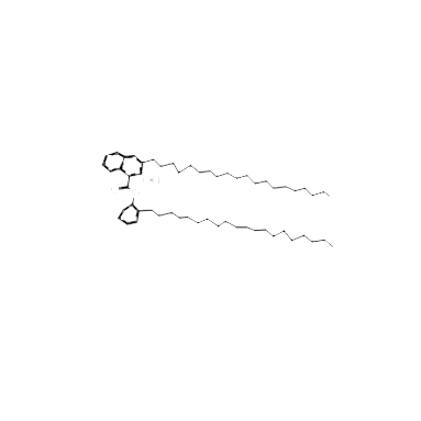 CCCCCCCCCCCCCCCCCCCCc1ccccc1OC(=O)c1c(O)c(CCCCCCCCCCCCCCCCCCCC)cc2ccccc12